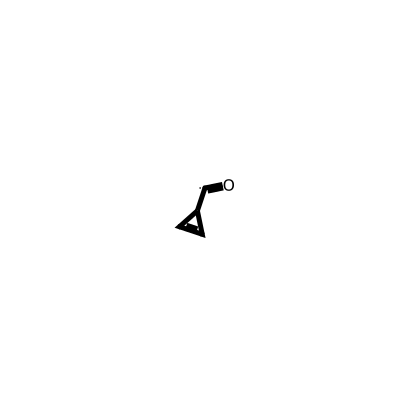 O=[C]C1C=C1